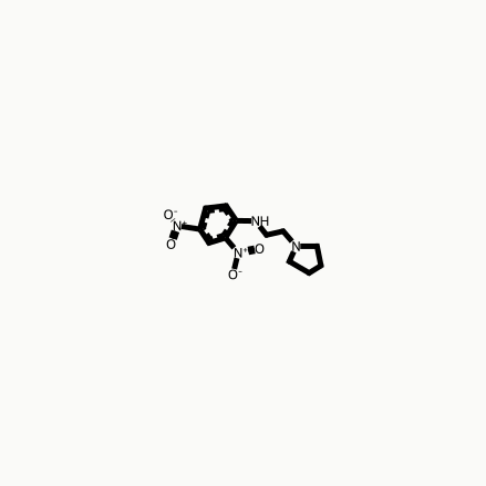 O=[N+]([O-])c1ccc(NCCN2CCCC2)c([N+](=O)[O-])c1